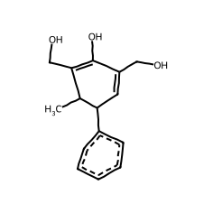 CC1C(CO)=C(O)C(CO)=CC1c1ccccc1